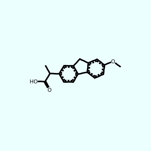 COc1ccc2c(c1)Cc1cc(C(C)C(=O)O)ccc1-2